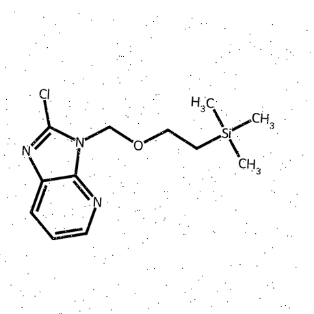 C[Si](C)(C)CCOCn1c(Cl)nc2cccnc21